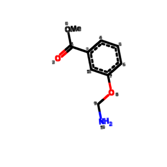 COC(=O)c1cccc(OCN)c1